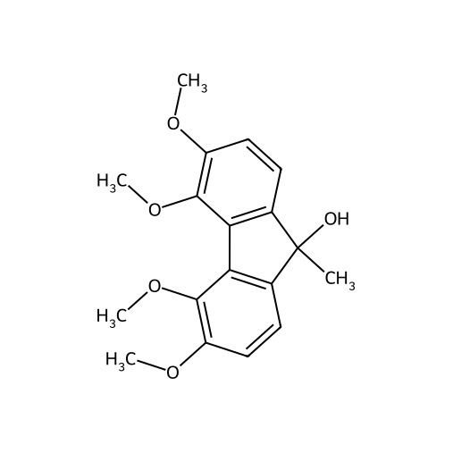 COc1ccc2c(c1OC)-c1c(ccc(OC)c1OC)C2(C)O